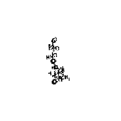 CCn1c(SC(C)(C)C(=O)Nc2ccccc2)nnc1-c1coc(-c2ccc(NC(=O)CSc3nnc(-c4ccoc4)n3C=O)cc2)c1